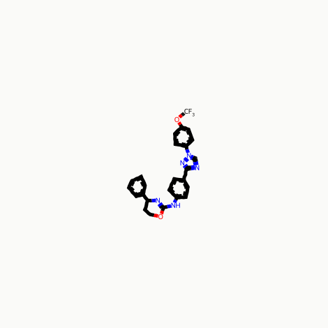 FC(F)(F)Oc1ccc(-n2cnc(-c3ccc(NC4=NC(c5ccccc5)CCO4)cc3)n2)cc1